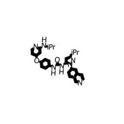 CC(C)Nc1cc(Oc2ccc(NC(=O)Nc3cc(C(C)C)nn3-c3ccc4cnccc4c3)cc2)ccn1